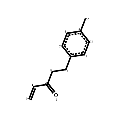 C=CC(=O)CCc1ccc(C)cc1